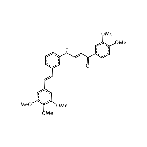 COc1ccc(C(=O)C=CNc2cccc(C=Cc3cc(OC)c(OC)c(OC)c3)c2)cc1OC